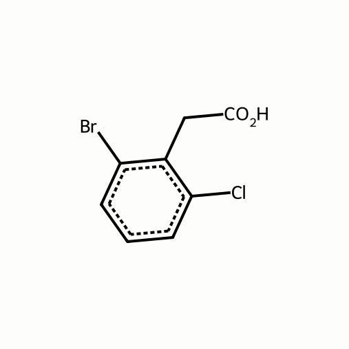 O=C(O)Cc1c(Cl)cccc1Br